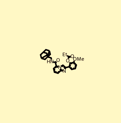 CCC(=O)Oc1c(OC)cccc1-c1cn2c(C(=O)NCC34CC5CC(CC(C5)C3)C4)cccc2n1